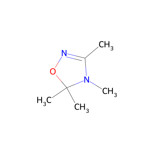 CC1=NOC(C)(C)N1C